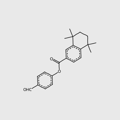 CC1(C)CCC(C)(C)c2cc(C(=O)Oc3ccc(C=O)cc3)ccc21